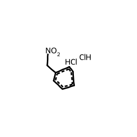 Cl.Cl.O=[N+]([O-])Cc1ccccc1